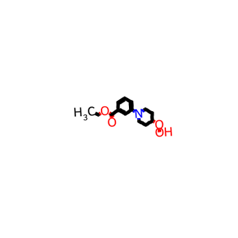 CCOC(=O)c1cccc(N2CCC(OO)CC2)c1